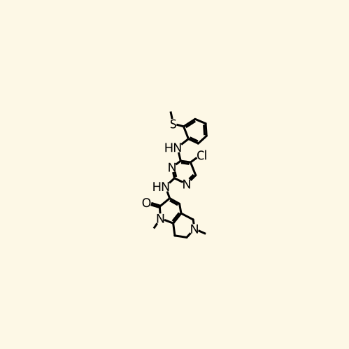 CSc1ccccc1Nc1nc(Nc2cc3c(n(C)c2=O)CCN(C)C3)ncc1Cl